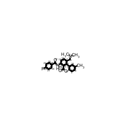 Cc1cccc(-c2c(CN(C)C)ccc(NC(=O)c3ccc(F)cc3)c2C(=O)O)c1